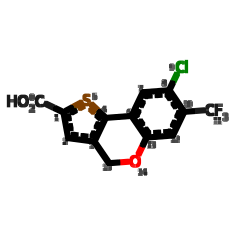 O=C(O)c1cc2c(s1)-c1cc(Cl)c(C(F)(F)F)cc1OC2